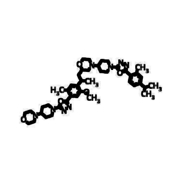 COc1cc(-c2nnc(N3CCC(N4CCOCC4)CC3)o2)c(C)cc1C(C)CC1CN(C2CCN(c3nnc(-c4ccc(C(C)C)cc4C)o3)CC2)CCO1